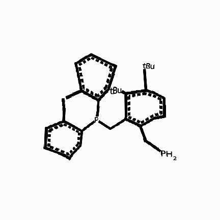 Cc1ccccc1P(Cc1c(CP)ccc(C(C)(C)C)c1C(C)(C)C)c1ccccc1C